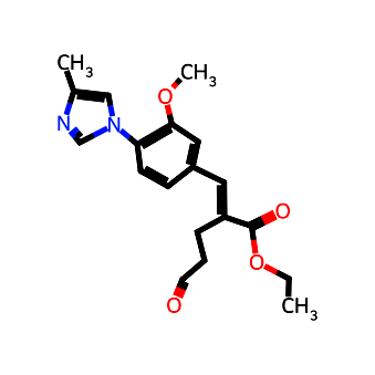 CCOC(=O)/C(=C/c1ccc(-n2cnc(C)c2)c(OC)c1)CCC=O